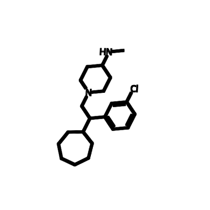 CNC1CCN(CC(c2cccc(Cl)c2)C2CCCCCC2)CC1